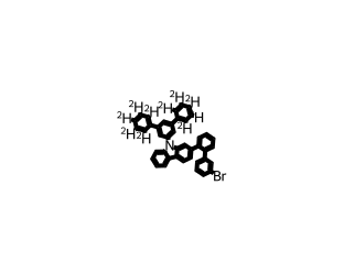 [2H]c1c([2H])c([2H])c(-c2cc(-c3c([2H])c([2H])c([2H])c([2H])c3[2H])cc(-n3c4ccccc4c4ccc(-c5ccccc5-c5cccc(Br)c5)cc43)c2)c([2H])c1[2H]